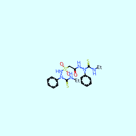 CCNC(=S)N(NC(=O)CS(=O)(=O)NN(C(=S)NCC)c1ccccc1)c1ccccc1